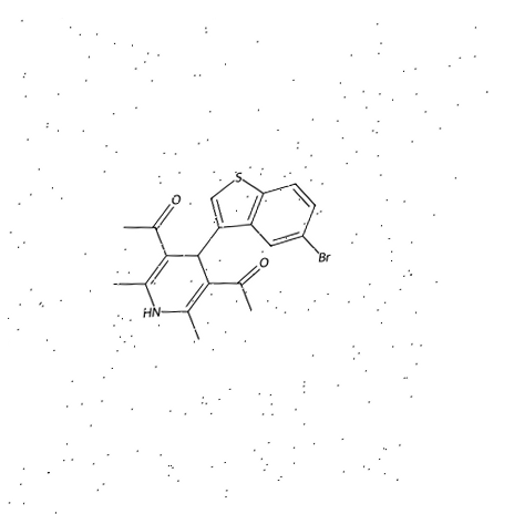 CC(=O)C1=C(C)NC(C)=C(C(C)=O)C1c1csc2ccc(Br)cc12